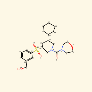 O=C(N1CCOCC1)N1C[C@@H](C2CCCCC2)C[C@@H](S(=O)(=O)c2cccc(CO)c2)C1